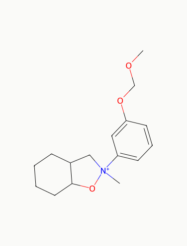 COCOc1cccc([N+]2(C)CC3CCCCC3O2)c1